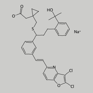 CC(C)(O)c1ccccc1CCC(SCC1(CC(=O)[O-])CC1)c1cccc(/C=C/c2ccc3oc(Cl)c(Cl)c3n2)c1.[Na+]